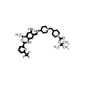 COC1=CC(=N)/C(=C\NC2CCN(CC3CCN(C(=O)OC(C)(C)C)CC3)CC2)C=C1NC(=O)c1cccc(C(F)(F)F)n1